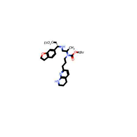 CCOC(=O)C[C@H](NCC(C)N(CCCc1ccc2c(n1)NCCC2)C(=O)OC(C)(C)C)c1ccc2c(c1)OCC2